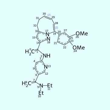 C=C(Nc1ccc(C(=C)N(CC)CC)cn1)c1cc2n(n1)/C(c1ccc(OC)c(OC)c1)=C\C=C/CC2